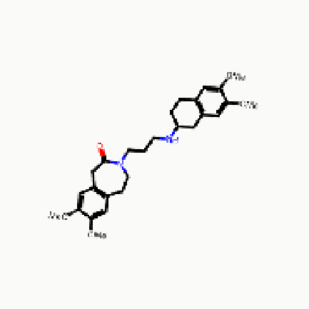 COc1cc2c(cc1OC)CC(=O)N(CCCNC1CCc3cc(OC)c(OC)cc3C1)CC2